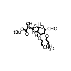 C=CCO[C@@H]1[C@H]2N=C(N(C)C(=O)OC(C)(C)C)S[C@H]2O[C@H](C=O)[C@H]1OCC=C